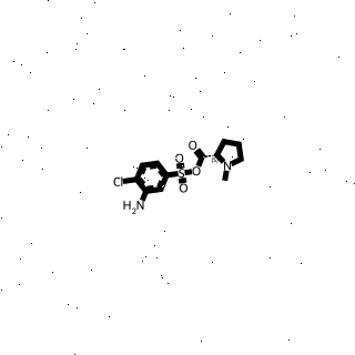 CN1CCC[C@H]1C(=O)OS(=O)(=O)c1ccc(Cl)c(N)c1